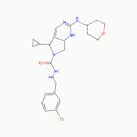 O=C(NNCc1cccc(Cl)c1)N1CC2NC(NC3CCOCC3)=NC=C2C1C1CC1